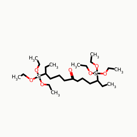 CCO[Si](OCC)(OCC)C(CC)CCCC(=O)CCCC(CC)[Si](OCC)(OCC)OCC